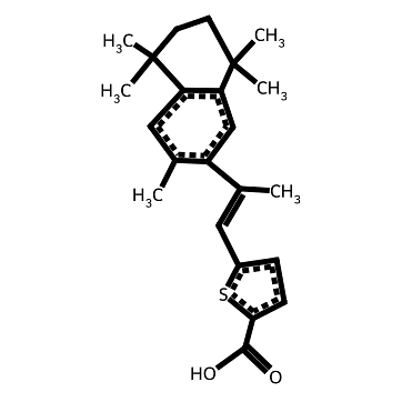 CC(=Cc1ccc(C(=O)O)s1)c1cc2c(cc1C)C(C)(C)CCC2(C)C